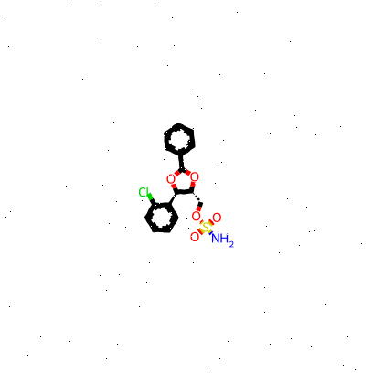 NS(=O)(=O)OC[C@H]1OC(c2ccccc2)O[C@@H]1c1ccccc1Cl